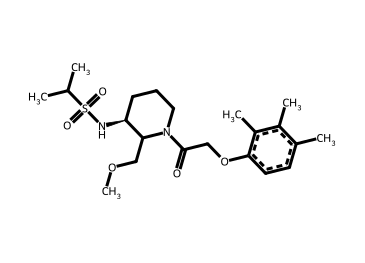 COCC1[C@@H](NS(=O)(=O)C(C)C)CCCN1C(=O)COc1ccc(C)c(C)c1C